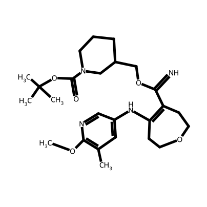 COc1ncc(NC2=C(C(=N)OCC3CCCN(C(=O)OC(C)(C)C)C3)CCOCC2)cc1C